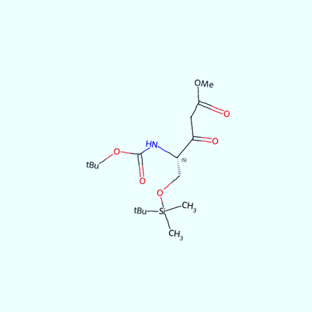 COC(=O)CC(=O)[C@H](CO[Si](C)(C)C(C)(C)C)NC(=O)OC(C)(C)C